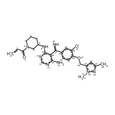 C=CC(=O)N1CCCC(Nc2ncnc(N)c2C(=N)c2ccc(OCc3cc(C)nn3C)c(Cl)c2)C1